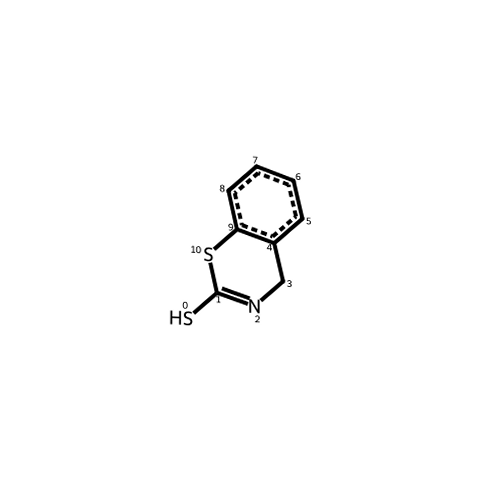 SC1=NCc2ccccc2S1